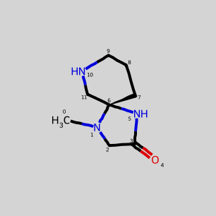 CN1CC(=O)N[C@]12CCCNC2